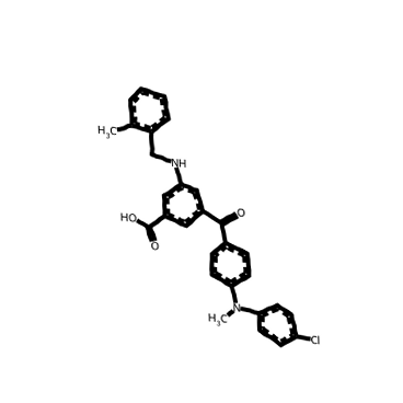 Cc1ccccc1CNc1cc(C(=O)O)cc(C(=O)c2ccc(N(C)c3ccc(Cl)cc3)cc2)c1